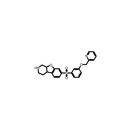 O=S(=O)(c1cccc(OCc2ccccn2)c1)c1ccc2c(c1)OC1CNCCC21